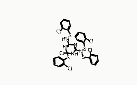 Clc1ccccc1SNC1=NC(Cl)(Sc2ccccc2Cl)NC(N(Sc2ccccc2Cl)Sc2ccccc2Cl)=N1